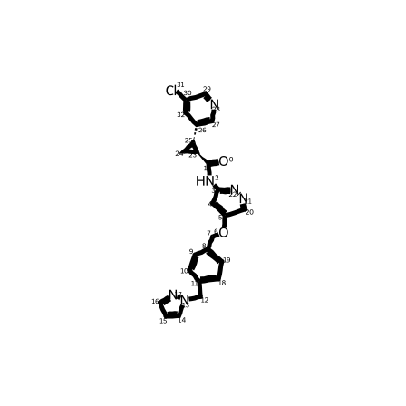 O=C(Nc1cc(OCc2ccc(Cn3cccn3)cc2)cnn1)[C@H]1C[C@@H]1c1cncc(Cl)c1